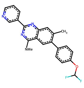 CNc1nc(-c2cccnc2)nc2cc(C)c(-c3ccc(OC(F)F)cc3)cc12